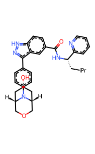 CC(C)C[C@H](NC(=O)c1ccc2[nH]nc(-c3ccc(N4[C@@H]5COC[C@H]4C[C@@H](O)C5)cc3)c2c1)c1ccccn1